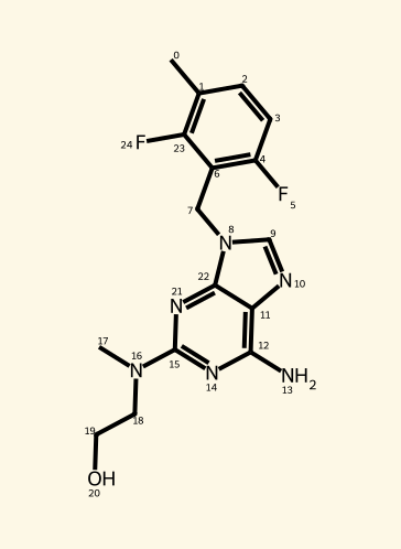 Cc1ccc(F)c(Cn2cnc3c(N)nc(N(C)CCO)nc32)c1F